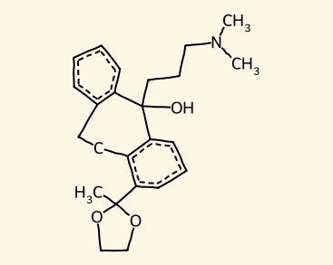 CN(C)CCCC1(O)c2ccccc2CCc2c(C3(C)OCCO3)cccc21